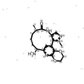 C[C@@H]1CCC[C@H](N)c2cc(c3c(n2)OCCO3)-c2c(cnn2C)NC1=O